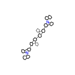 c1ccc2c(-n3c4ccccc4c4cc(-c5ccc6c(c5)C5(CCCC5)c5cc(-c7ccc8c(c7)C7(CCCC7)c7cc(-c9ccc%10c(c9)c9ccccc9n%10-c9cccc%10ccccc9%10)ccc7-8)ccc5-6)ccc43)cccc2c1